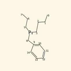 CCCCP(CCC)Cc1ccccc1